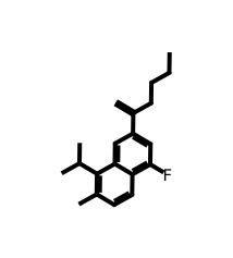 C=C(CCCC)c1cc(F)c2ccc(C)c(C(C)C)c2c1